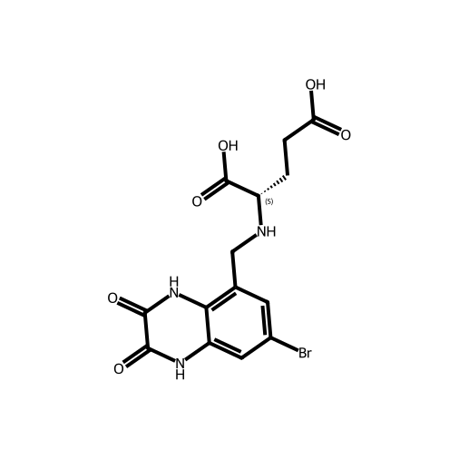 O=C(O)CC[C@H](NCc1cc(Br)cc2[nH]c(=O)c(=O)[nH]c12)C(=O)O